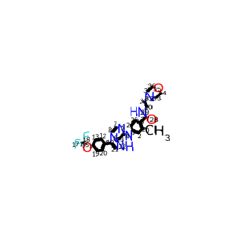 Cc1cc(Nc2nccn3c(-c4ccc(OC(F)F)cc4)cnc23)ccc1C(=O)NCCN1CCOCC1